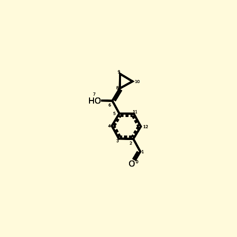 O=Cc1ccc(C(O)=C2CC2)cc1